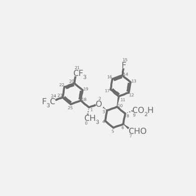 C[C@@H](O[C@H]1CC[C@H](C=O)[C@@H](C(=O)O)[C@@H]1c1ccc(F)cc1)c1cc(C(F)(F)F)cc(C(F)(F)F)c1